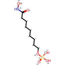 O=C(CCCCCCCCOP(=O)(O)O)NO